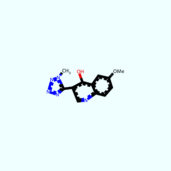 COc1ccc2ncc(-c3nnnn3C)c(O)c2c1